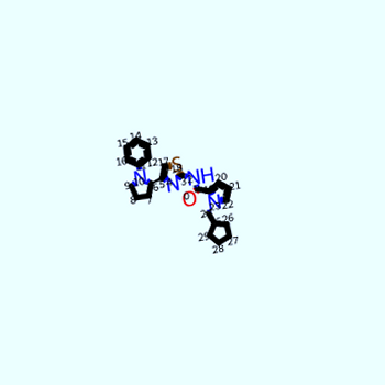 O=C(Nc1nc([C@H]2CCCN2c2ccccc2)cs1)c1cccn1CC1CCCC1